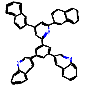 c1ccc2cc(-c3cc(-c4cc(-c5cnc6ccccc6c5)cc(-c5cnc6ccccc6c5)c4)nc(-c4ccc5ccccc5c4)c3)ccc2c1